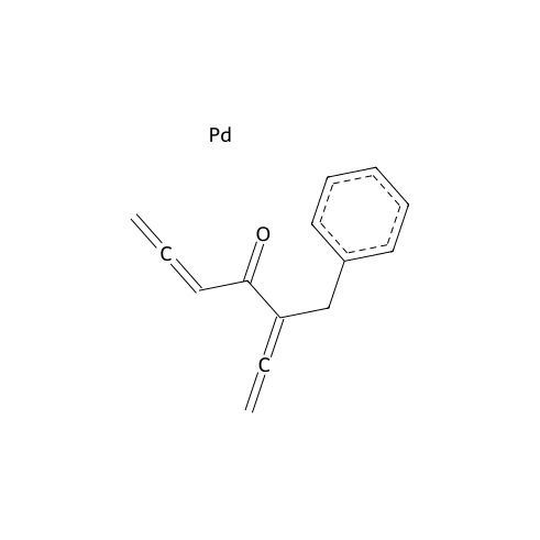 C=C=CC(=O)C(=C=C)Cc1ccccc1.[Pd]